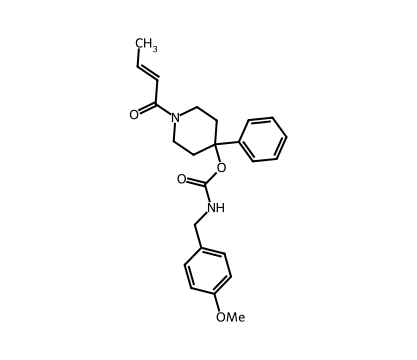 CC=CC(=O)N1CCC(OC(=O)NCc2ccc(OC)cc2)(c2ccccc2)CC1